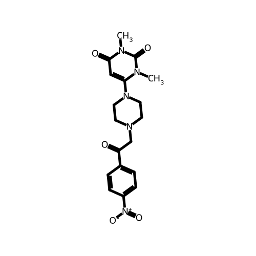 Cn1c(N2CCN(CC(=O)c3ccc([N+](=O)[O-])cc3)CC2)cc(=O)n(C)c1=O